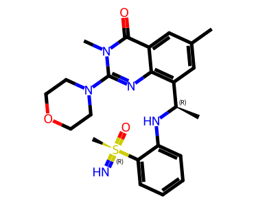 Cc1cc([C@@H](C)Nc2ccccc2[S@](C)(=N)=O)c2nc(N3CCOCC3)n(C)c(=O)c2c1